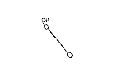 OCc1ccc(C#CC#CC#CC#CC#Cc2ccccc2)cc1